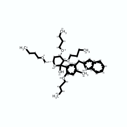 CCCCOC[C@@H]1C[C@H](OCCCC)[C@@H](OCCCC)C(O)(c2cc(Cc3cc4ccccc4s3)c(C)cc2OCCCC)O1